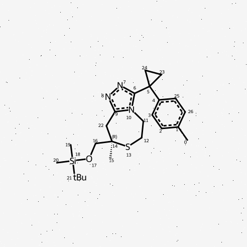 Cc1ccc(C2(c3nnc4n3CCS[C@@](C)(CO[Si](C)(C)C(C)(C)C)C4)CC2)cc1